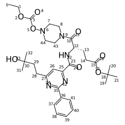 CCOC(=O)ON1CCN(C(=O)[C@H](CCC(=O)OC(C)(C)C)NC(=O)c2cc(CCC(C)(C)O)nc(-c3ccccc3)n2)CC1